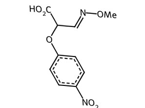 CON=CC(Oc1ccc([N+](=O)[O-])cc1)C(=O)O